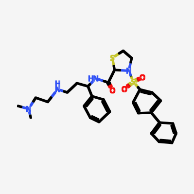 CN(C)CCNCCC(NC(=O)C1SCCN1S(=O)(=O)c1ccc(-c2ccccc2)cc1)c1ccccc1